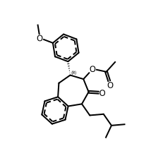 COc1cccc([C@H]2Cc3ccccc3C(CCC(C)C)C(=O)C2OC(C)=O)c1